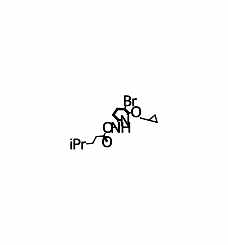 CC(C)CCC(=O)ONc1ccc(Br)c(OCC2CC2)n1